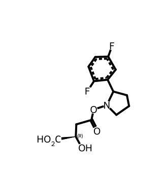 O=C(C[C@@H](O)C(=O)O)ON1CCCC1c1cc(F)ccc1F